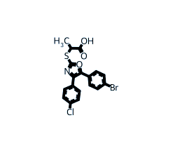 CC(Sc1nc(-c2ccc(Cl)cc2)c(-c2ccc(Br)cc2)o1)C(=O)O